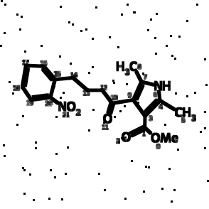 COC(=O)c1c(C)[nH]c(C)c1C(=O)CCCc1ccccc1[N+](=O)[O-]